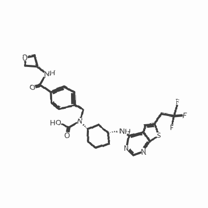 O=C(NC1COC1)c1ccc(CN(C(=O)O)[C@H]2CCC[C@@H](Nc3ncnc4sc(CC(F)(F)F)cc34)C2)cc1